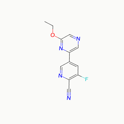 CCOc1cncc(-c2cnc(C#N)c(F)c2)n1